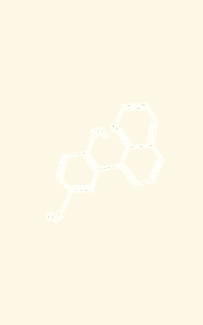 Cc1ccc(C)c(-c2cccc3cccnc23)c1